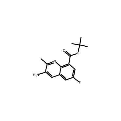 Cc1nc2c(C(=O)OC(C)(C)C)cc(F)cc2cc1N